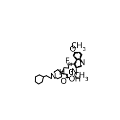 COc1ccc2ncc(N(C)C)c([C@H](F)CCC3(CC(=O)O)CCN(CCC4CCCCC4)CC3)c2c1